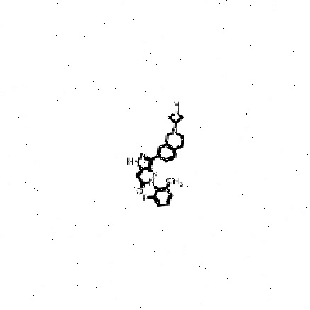 Cc1cccc(F)c1-n1nc2c(-c3ccc4c(c3)CN(C3CNC3)CC4)n[nH]c2cc1=O